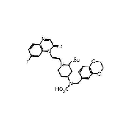 CC(C)(C)C1CC(N(Cc2ccc3c(c2)OCCO3)C(=O)O)CCN1CCn1c(=O)cnc2ccc(F)cc21